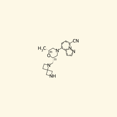 C[C@@H]1CN(c2ccc(C#N)n3nccc23)C[C@H](CN2CCC23CNC3)O1